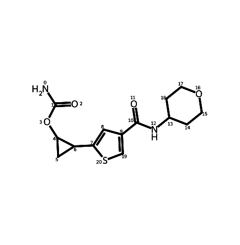 NC(=O)OC1CC1c1cc(C(=O)NC2CCOCC2)cs1